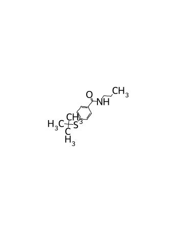 CCCNC(=O)c1ccc(SC(C)(C)C)cc1